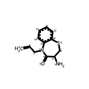 C=CCN1C(=O)C(N)CSc2ccccc21